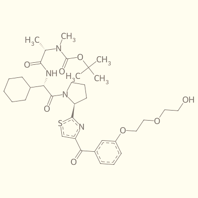 C[C@@H](C(=O)N[C@H](C(=O)N1CCC[C@H]1c1nc(C(=O)c2cccc(OCCOCCO)c2)cs1)C1CCCCC1)N(C)C(=O)OC(C)(C)C